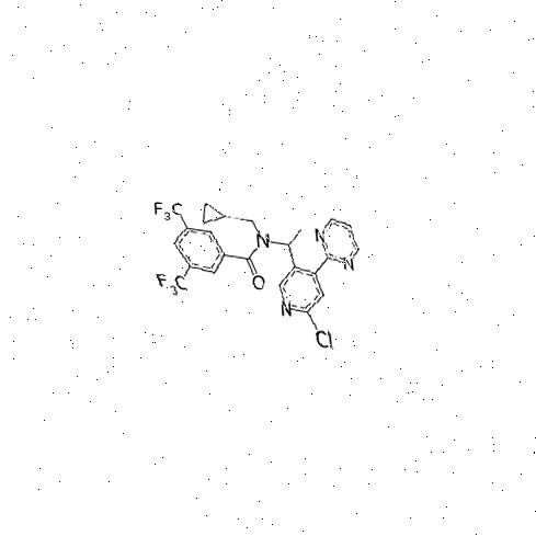 CC(c1cnc(Cl)cc1-c1ncccn1)N(CC1CC1)C(=O)c1cc(C(F)(F)F)cc(C(F)(F)F)c1